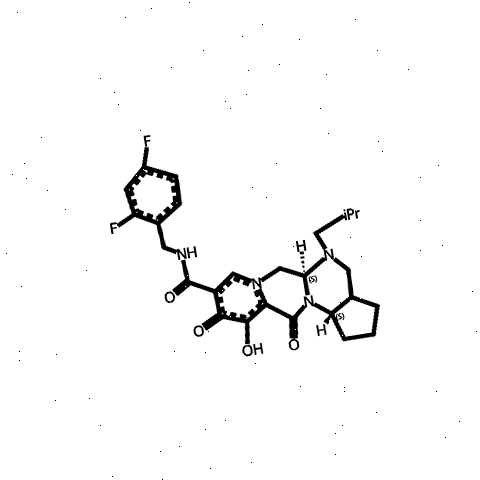 CC(C)CN1CC2CCC[C@@H]2N2C(=O)c3c(O)c(=O)c(C(=O)NCc4ccc(F)cc4F)cn3C[C@@H]12